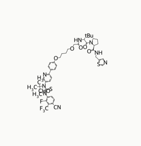 CN(C(=S)N(c1ccc(-c2ccc(OCCCCOCC(=O)NC(C(=O)N3CCC[C@H]3C(=O)NCc3cncs3)C(C)(C)C)cc2)nc1)C(C)(C)C=O)c1ccc(C#N)c(C(F)(F)F)c1F